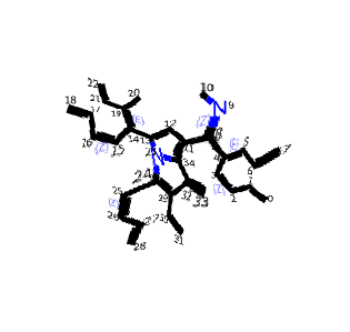 C=C\C=C/C(=C\C=C)C(=N/C)/c1cc(C(/C=C\C=C)=C(\C)C=C)n2c(/C=C\C=C)c(C=C)c(=C)c12